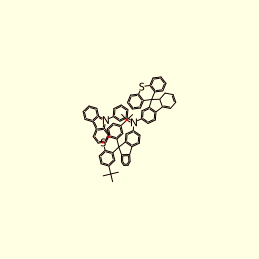 CC(C)(C)c1ccc2c(c1)C1(c3cc(C(C)(C)C)ccc3S2)c2ccccc2-c2ccc(N(c3cccc(-n4c5ccccc5c5ccccc54)c3)c3ccc4c(c3)C3(c5ccccc5Sc5ccccc53)C3CC=CC=C43)cc21